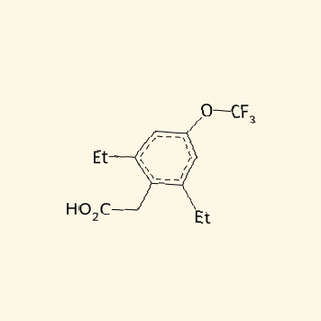 CCc1cc(OC(F)(F)F)cc(CC)c1CC(=O)O